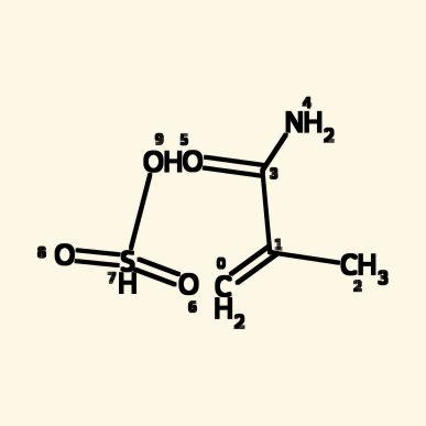 C=C(C)C(N)=O.O=[SH](=O)O